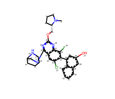 CN1CCC[C@H]1COc1nc(N2CC3CCC2CN3)c2cc(Cl)c(-c3cc(O)cc4ccccc34)c(F)c2n1